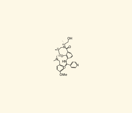 COc1ccc(CN(C)C[C@H]2Oc3c(NC(=O)c4ccncc4)cccc3C(=O)N([C@H](C)CO)C[C@@H]2C)cc1